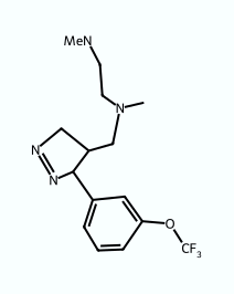 CNCCN(C)CC1CN=NC1c1cccc(OC(F)(F)F)c1